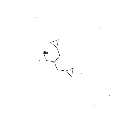 CC(C)(C)CN(CC1CC1)CC1CC1